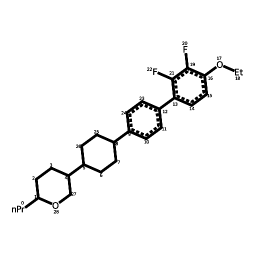 CCCC1CCC(C2CCC(c3ccc(-c4ccc(OCC)c(F)c4F)cc3)CC2)CO1